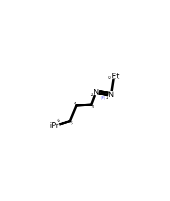 CC/N=N/CCCC(C)C